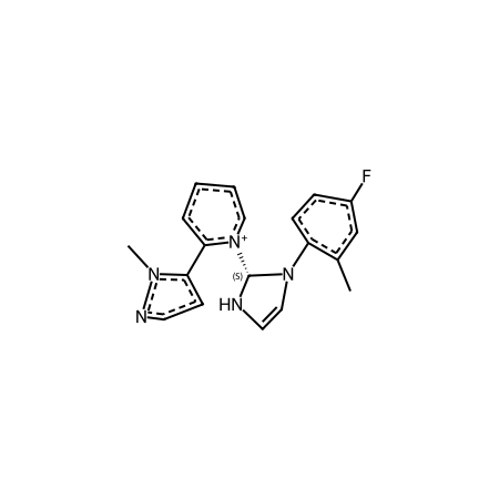 Cc1cc(F)ccc1N1C=CN[C@@H]1[n+]1ccccc1-c1ccnn1C